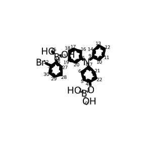 OB(O)Oc1ccc(N(c2ccccc2)c2ccccc2)cc1.OB(O)c1ccccc1Br